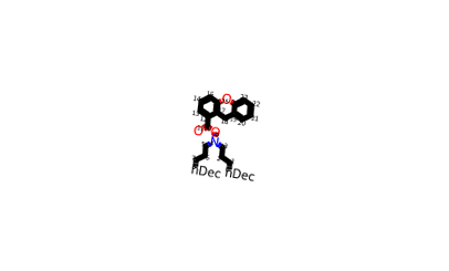 CCCCCCCCCCCCCN(CCCCCCCCCCCCC)OC(=O)c1cccc2c1Cc1ccccc1O2